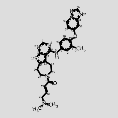 Cc1cc(Nc2ncnc3sc4c(c23)CCN(C(=O)/C=C/CN(C)C)CC4)ccc1Oc1ccn2ncnc2c1